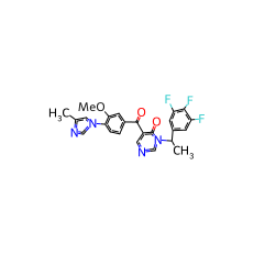 COc1cc(C(=O)c2cncn(C(C)c3cc(F)c(F)c(F)c3)c2=O)ccc1-n1cnc(C)c1